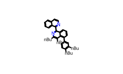 CCCCc1ccc(-c2cccc3c(-c4nccc5ccccc45)nc(CCCC)c(CCCC)c23)cc1CCCC